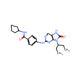 CCC(CC)n1c(=O)[nH]c2cnc(Nc3ccc(C(=O)NC4CCCC4)cc3)nc21